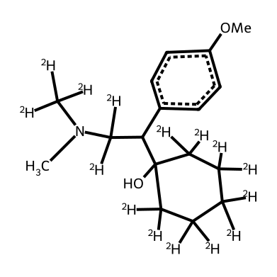 [2H]C([2H])([2H])N(C)C([2H])([2H])C(c1ccc(OC)cc1)C1(O)C([2H])([2H])C([2H])([2H])C([2H])([2H])C([2H])([2H])C1([2H])[2H]